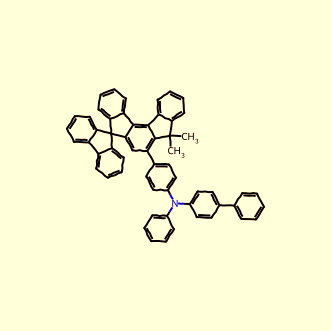 CC1(C)c2ccccc2-c2c3c(cc(-c4ccc(N(c5ccccc5)c5ccc(-c6ccccc6)cc5)cc4)c21)C1(c2ccccc2-c2ccccc21)c1ccccc1-3